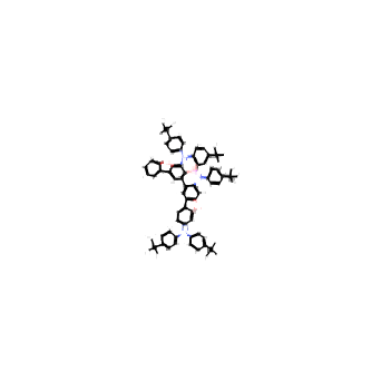 CC(C)(C)c1ccc(N2B3c4cc(C(C)(C)C)ccc4N(c4ccc(C(C)(C)C)cc4)c4c3c(cc3c4oc4ccccc43)-c3cc4c(cc32)oc2cc(N(c3ccc(C(C)(C)C)cc3)c3ccc(C(C)(C)C)cc3)ccc24)cc1